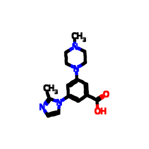 Cc1nccn1-c1cc(C(=O)O)cc(N2CCN(C)CC2)c1